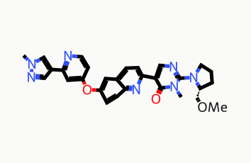 COC[C@H]1CCCN1c1ncc(-c2ccc3cc(Oc4ccnc(-c5cnn(C)c5)c4)ccc3n2)c(=O)n1C